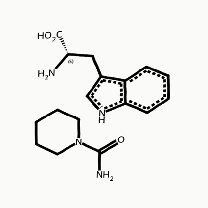 NC(=O)N1CCCCC1.N[C@@H](Cc1c[nH]c2ccccc12)C(=O)O